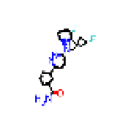 NC(=O)c1cccc(-c2ccc(NC[C@]3(c4ncccc4F)C[C@H](F)C3)nn2)c1